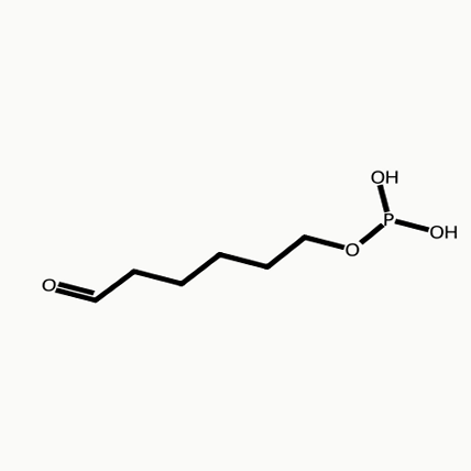 O=CCCCCCOP(O)O